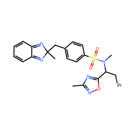 Cc1noc(C(CC(C)C)N(C)S(=O)(=O)c2ccc(CC3(C)N=c4ccccc4=N3)cc2)n1